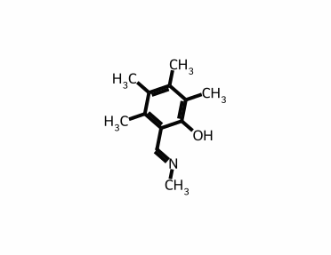 C/N=C/c1c(C)c(C)c(C)c(C)c1O